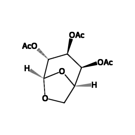 CC(=O)O[C@H]1[C@@H](OC(C)=O)[C@H]2CO[C@H](O2)[C@@H]1OC(C)=O